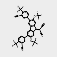 N#CC(C#N)=C1c2cc(OC(F)(F)F)c(-c3ccc(C(F)(F)F)c(C#N)c3)cc2-c2cc(-c3ccc(C(F)(F)F)c(C#N)c3)c(OC(F)(F)F)cc21